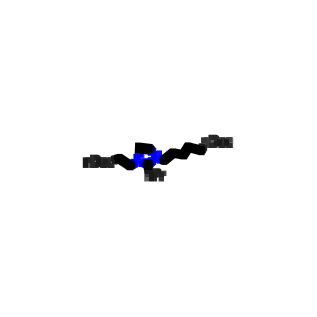 CCCCCCCCCCCCCCCN1C=CN(CCCCCCCCCCCC)C1CCC